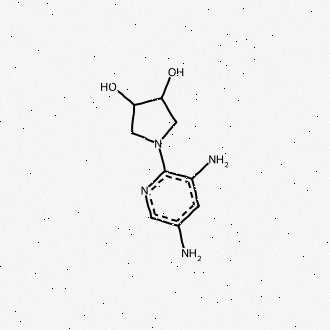 Nc1cnc(N2CC(O)C(O)C2)c(N)c1